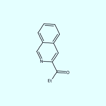 CCC(=O)c1cc2ccccc2cn1